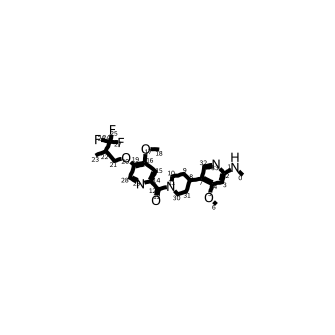 CNc1cc(OC)c(C2CCN(C(=O)c3cc(OC)c(OCC(C)C(F)(F)F)cn3)CC2)cn1